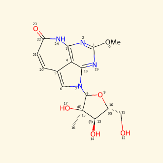 COc1nc2c3c(cn(C4O[C@H](CO)[C@@H](O)[C@@]4(C)O)c3n1)C=CC(=O)N2